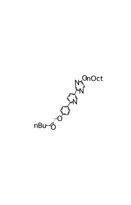 CCCCCCCCOc1cnc(-c2ccc(-c3ccc(OC[C@@H]4O[C@H]4CCCC)cc3)nc2)cn1